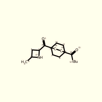 CC1CC(C(=O)C23CCC(C(=O)C(C)(C)C)(CC2)CC3)N1